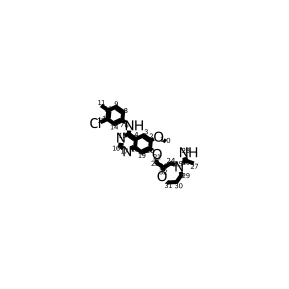 COc1cc2c(Nc3ccc(C)c(Cl)c3)ncnc2cc1OCC1CN(C(C)=N)CCCO1